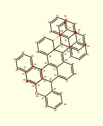 C1=CCC2(N3c4ccccc4Oc4ccccc43)C(=C1)C(c1cccc3ccccc13)=c1c(N3c4ccccc4Oc4ccccc43)cccc1=C2c1cccc2ccccc12